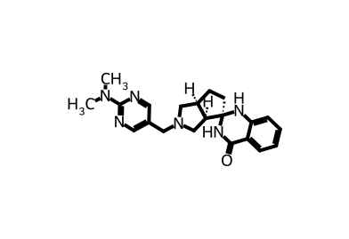 CN(C)c1ncc(CN2C[C@H]3CC[C@]4(NC(=O)c5ccccc5N4)[C@H]3C2)cn1